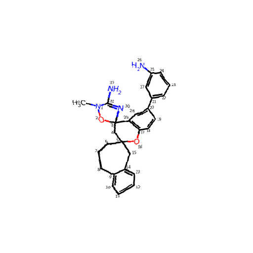 CN1OC2(CC3(CCCc4ccccc4C3)Oc3ccc(-c4cccc(N)c4)cc32)N=C1N